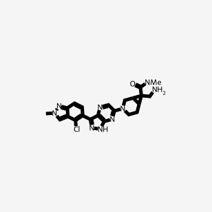 CNC(=O)C1(CN)C2CCN(c3cnc4c(-c5ccc6nn(C)cc6c5Cl)n[nH]c4n3)CC21